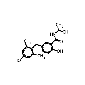 Cc1cc(O)cc(C)c1Cc1ccc(O)c(C(=O)NC(C)C)c1